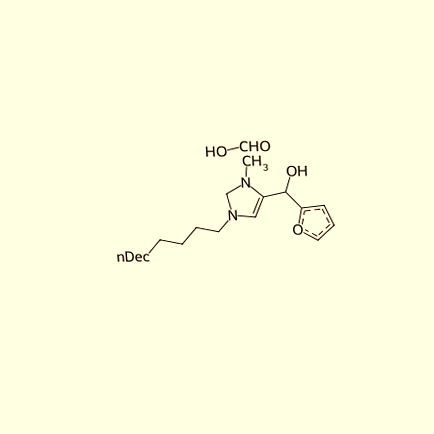 CCCCCCCCCCCCCCN1C=C(C(O)c2ccco2)N(C)C1.O=CO